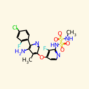 CNS(=O)(=O)S(=O)(=O)Nc1nccc(Oc2cnc(-c3ccc(Cl)cc3F)c(N)c2C)c1F